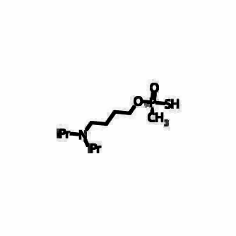 CC(C)N(CCCCO[P@](C)(=O)S)C(C)C